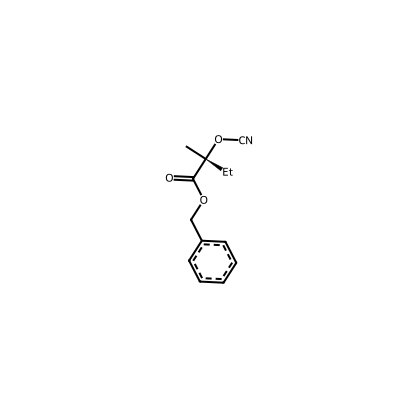 CC[C@@](C)(OC#N)C(=O)OCc1ccccc1